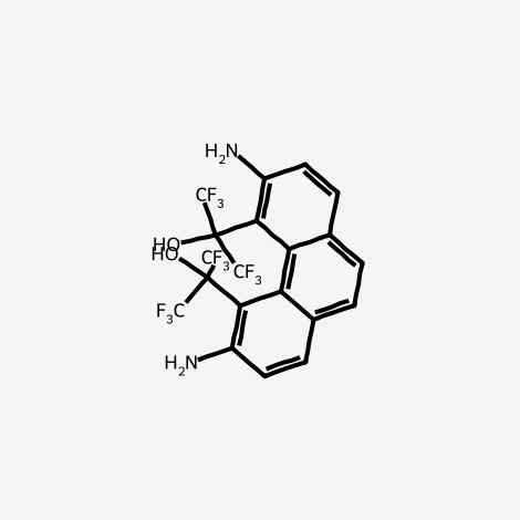 Nc1ccc2ccc3ccc(N)c(C(O)(C(F)(F)F)C(F)(F)F)c3c2c1C(O)(C(F)(F)F)C(F)(F)F